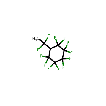 CC(F)(F)C1C(F)(F)C(F)(F)C(F)(F)C(F)(F)C1(F)F